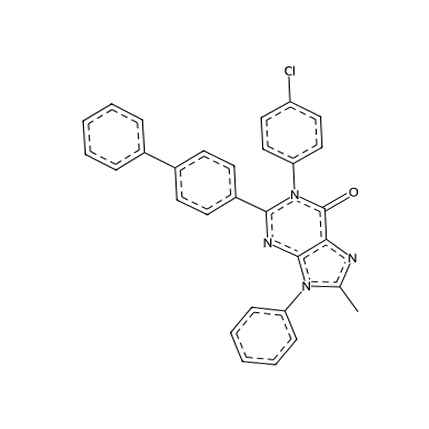 Cc1nc2c(=O)n(-c3ccc(Cl)cc3)c(-c3ccc(-c4ccccc4)cc3)nc2n1-c1ccccc1